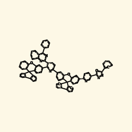 c1ccc(-c2nnc(-c3ccc(-c4ccc5c(c4)Oc4cc(-c6ccc(-c7nc(-c8ccccc8)c8ccccc8n7)c(-c7ccc8c(c7)Oc7ccccc7C87c8ccccc8-c8ccccc87)n6)ccc4C54c5ccccc5-c5ccccc54)nc3)o2)cc1